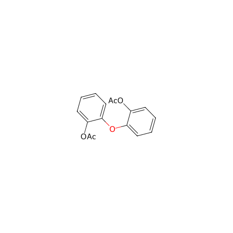 CC(=O)Oc1ccccc1Oc1ccccc1OC(C)=O